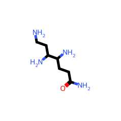 NCCC(N)C(N)CCC(N)=O